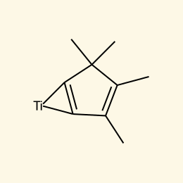 CC1=C(C)C(C)(C)[C]2=[C]1[Ti]2